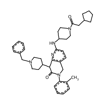 Cc1ccccc1N1Cc2ccc(NC3CCN(C(=O)CC4CCCC4)CC3)nc2C(C2CCN(Cc3ccccc3)CC2)C1=O